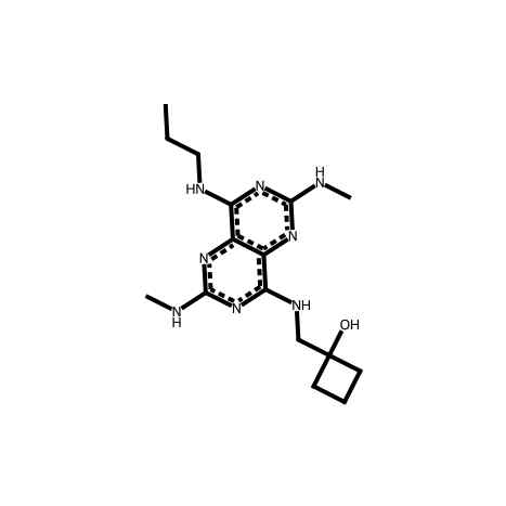 CCCNc1nc(NC)nc2c(NCC3(O)CCC3)nc(NC)nc12